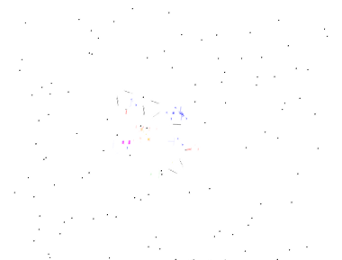 CCN.O=C(NCc1cn(-c2ccc(-n3ccccc3=O)cc2OS(=O)(=O)O)nn1)c1ccc(Cl)s1